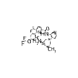 C[C@@H]1C[C@H](N)C[C@H](c2ccncc2NC(=O)c2ccc(F)c(-c3c(F)cc(OC(F)F)cc3F)n2)C1